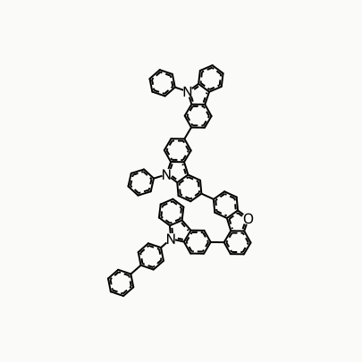 c1ccc(-c2ccc(-n3c4ccccc4c4cc(-c5cccc6oc7ccc(-c8ccc9c(c8)c8cc(-c%10ccc%11c%12ccccc%12n(-c%12ccccc%12)c%11c%10)ccc8n9-c8ccccc8)cc7c56)ccc43)cc2)cc1